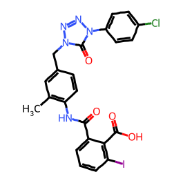 Cc1cc(Cn2nnn(-c3ccc(Cl)cc3)c2=O)ccc1NC(=O)c1cccc(I)c1C(=O)O